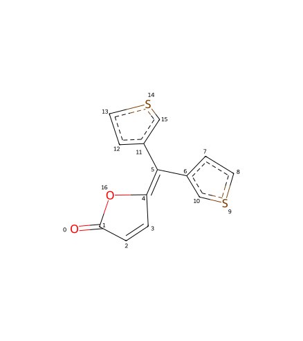 O=C1C=CC(=C(c2ccsc2)c2ccsc2)O1